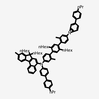 CCCCCCc1cc(-c2ccc(N(c3ccc(-c4ccc(CCC)cc4)cc3)c3cc4c(c5ccccc35)-c3ccc(C)cc3C4(CCCCCC)CCCCCC)cc2C)c(CCCCCC)cc1-c1ccc(N2c3ccc(-c4ccc(CCC)cc4)cc32)cc1C